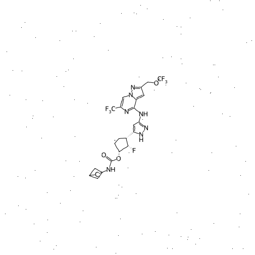 O=C(NC12CC(C1)C2)O[C@@H]1CC[C@H](c2cc(Nc3nc(C(F)(F)F)cn4nc(COC(F)(F)F)cc34)n[nH]2)[C@@H]1F